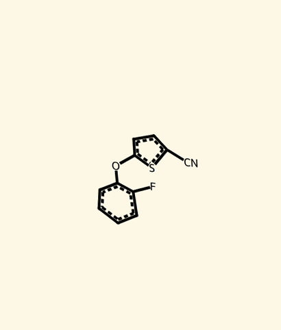 N#Cc1ccc(Oc2ccccc2F)s1